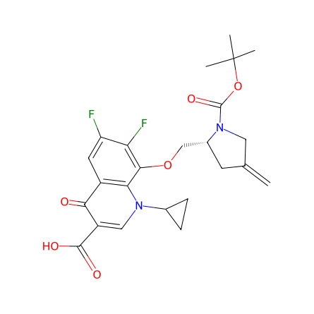 C=C1C[C@H](COc2c(F)c(F)cc3c(=O)c(C(=O)O)cn(C4CC4)c23)N(C(=O)OC(C)(C)C)C1